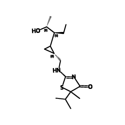 CC[C@@H](C1C[C@H]1CNC1=NC(=O)C(C)(C(C)C)S1)[C@@H](C)O